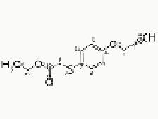 C#CCOc1ccc(SCC(=O)OCC)cc1